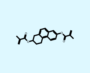 C=C(C)C(=O)Oc1ccc2c3c(ccc2c1)CC(OC(=O)C(=C)C)CC3